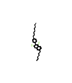 CCCCCCCCc1ccc(-c2c(F)cc3cc(CCCCCC)ccc3c2F)cc1